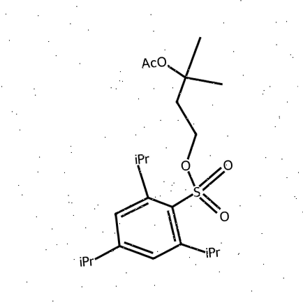 CC(=O)OC(C)(C)CCOS(=O)(=O)c1c(C(C)C)cc(C(C)C)cc1C(C)C